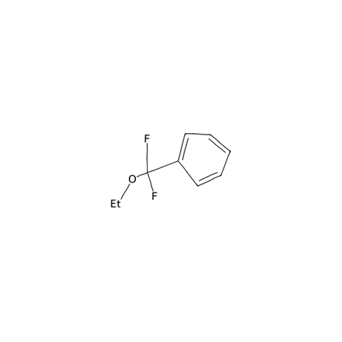 [CH2]COC(F)(F)c1ccccc1